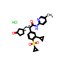 Cc1ccc(NC(=O)[C@H](C[C@H]2CCC(=O)C2)c2ccc(S(=O)(=O)C3CC3)c(C3CC3)c2)nc1.Cl